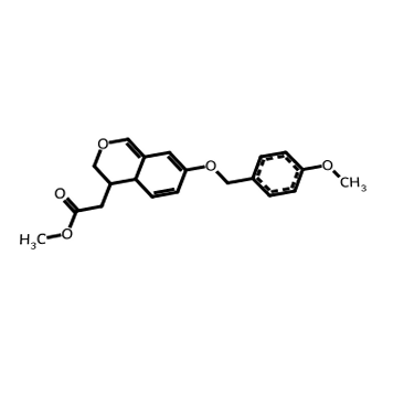 COC(=O)CC1COC=C2C=C(OCc3ccc(OC)cc3)C=CC21